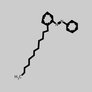 CCCCCCCCCCCCc1ccccc1N=Nc1ccccc1